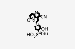 Cn1c(=O)ccc2ncc(C#N)c(CCN3CC[C@H](N(C(=O)O)C(C)(C)C)[C@@H](O)C3)c21